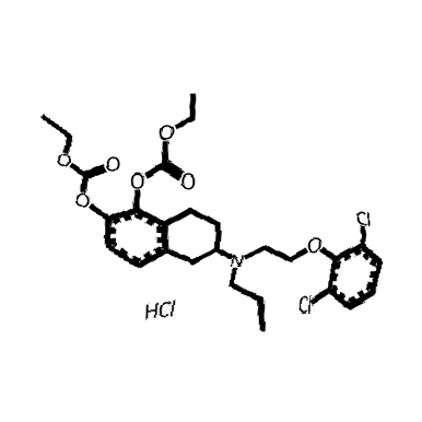 CCCN(CCOc1c(Cl)cccc1Cl)C1CCc2c(ccc(OC(=O)OCC)c2OC(=O)OCC)C1.Cl